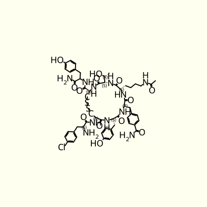 CC(=O)NCCCC[C@@H]1NC(=O)[C@@H](Cc2ccc(C(N)=O)cc2)NC(=O)[C@H](Cc2ccc(O)cc2)NC(=O)[C@H](NC(=O)[C@@H](N)Cc2ccc(Cl)cc2)CSSC[C@@H](C(=O)NC(Cc2ccc(O)cc2)C(N)=O)NC(=O)[C@H]([C@@H](C)O)NC1=O